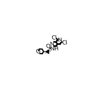 O=C(Nc1cc2cc(Cl)nc(Cl)c2cn1)[C@@H]1C[C@H]1C1CCOCC1